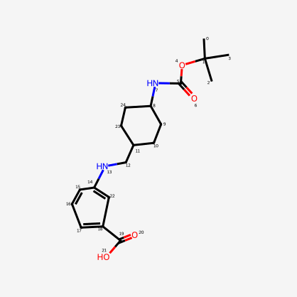 CC(C)(C)OC(=O)NC1CCC(CNc2cccc(C(=O)O)c2)CC1